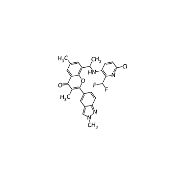 Cc1cc(C(C)Nc2ccc(Cl)nc2C(F)F)c2oc(-c3ccc4nn(C)cc4c3)c(C)c(=O)c2c1